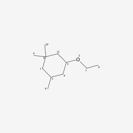 CCOC1CC(C)CC(C)(C)C1